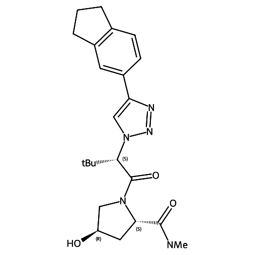 CNC(=O)[C@@H]1C[C@@H](O)CN1C(=O)[C@@H](n1cc(-c2ccc3c(c2)CCC3)nn1)C(C)(C)C